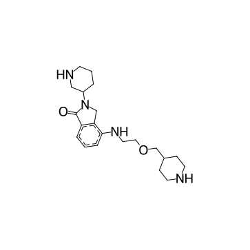 O=C1c2cccc(NCCOCC3CCNCC3)c2CN1C1CCCNC1